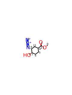 COC(=O)C1CC[C@@H](O)[C@H](N=[N+]=[N-])C1